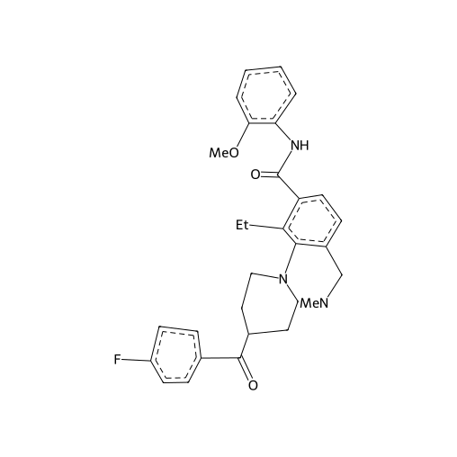 CCc1c(C(=O)Nc2ccccc2OC)ccc(CNC)c1N1CCC(C(=O)c2ccc(F)cc2)CC1